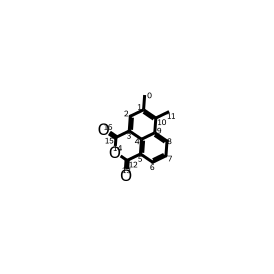 Cc1cc2c3c(cccc3c1C)C(=O)OC2=O